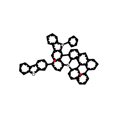 c1ccc(-c2cccc3cccc(-c4ccccc4N(c4ccc(-c5ccc6c(c5)oc5ccccc56)cc4)c4ccccc4-c4cccc5c6ccccc6n(-c6ccccc6)c45)c23)cc1